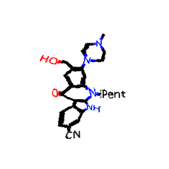 CCCC(C)n1c2cc(N3CCN(C)CC3)c(CO)cc2c(=O)c2c3ccc(C#N)cc3[nH]c21